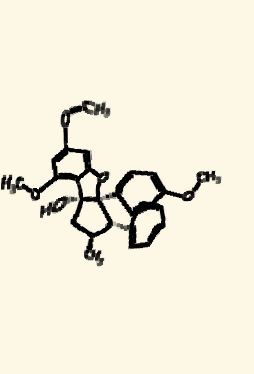 COc1ccc([C@@]23Oc4cc(OC)cc(OC)c4[C@]2(O)C[C@H](C)[C@H]3c2ccccc2)cc1